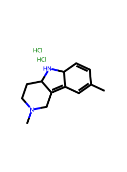 CC1=CC2=C3CN(C)CCC3NC2C=C1.Cl.Cl